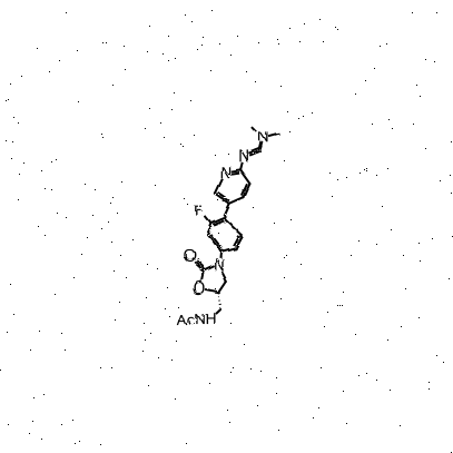 CC(=O)NC[C@H]1CN(c2ccc(-c3ccc(N=CN(C)C)nc3)c(F)c2)C(=O)O1